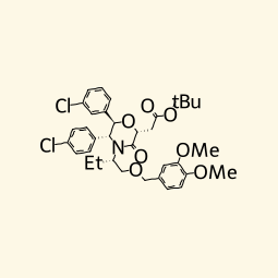 CC[C@@H](COCc1ccc(OC)c(OC)c1)N1C(=O)[C@@H](CC(=O)OC(C)(C)C)O[C@H](c2cccc(Cl)c2)[C@H]1c1ccc(Cl)cc1